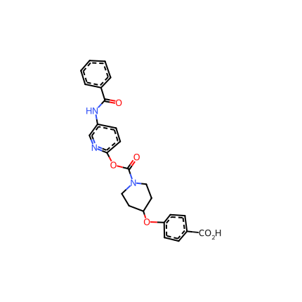 O=C(O)c1ccc(OC2CCN(C(=O)Oc3ccc(NC(=O)c4ccccc4)cn3)CC2)cc1